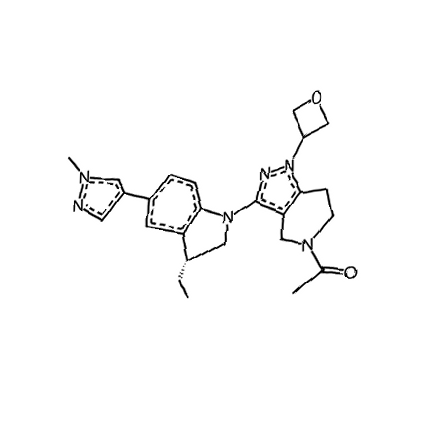 CC[C@H]1CN(c2nn(C3COC3)c3c2CN(C(C)=O)CC3)c2ccc(-c3cnn(C)c3)cc21